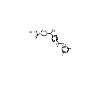 CCC(c1ccc([C@H](C)Nc2nc(F)cc(F)n2)cc1)N1CCN(C(=O)OC(C)(C)C)CC1